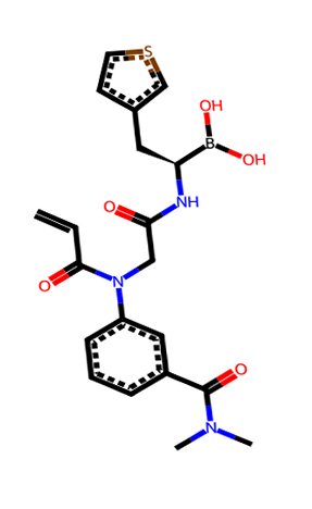 C=CC(=O)N(CC(=O)N[C@@H](Cc1ccsc1)B(O)O)c1cccc(C(=O)N(C)C)c1